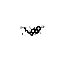 C=C(CC[C@@H](C)[C@H]1CC[C@H]2C3CC=C4C[C@@H](O)CC[C@]4(C)[C@H]3CC[C@]12C)C(C)C